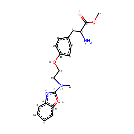 COC(=O)C(N)Cc1ccc(OCCN(C)c2nc3ccccc3o2)cc1